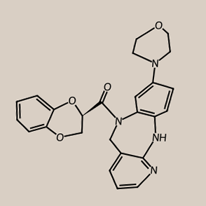 O=C([C@H]1COc2ccccc2O1)N1Cc2cccnc2Nc2ccc(N3CCOCC3)cc21